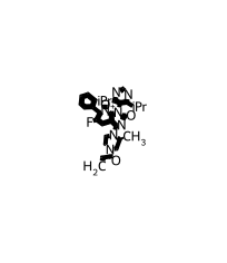 C=CC(=O)N1CCN(c2nc(=O)n(-c3c(C(C)C)ncnc3C(C)C)c3c2cc(F)c(-c2ccccc2)[n+]3[O-])[C@@H](C)C1